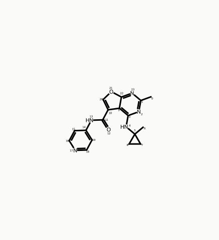 Cc1nc(NC2(C)CC2)c2c(C(=O)Nc3ccncc3)coc2n1